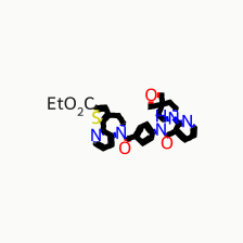 CCOC(=O)c1cc2c(s1)-c1ncccc1N(C(=O)c1ccc(NC(=O)c3cccnc3N3CCC4(CC3)COC4)cc1)CC2